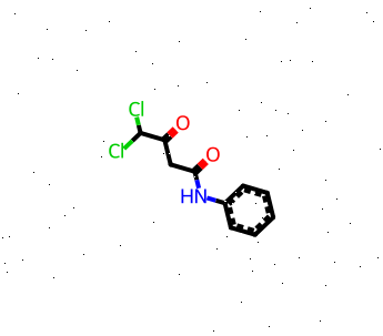 O=C(CC(=O)C(Cl)Cl)Nc1ccccc1